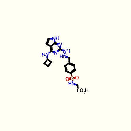 O=C(O)CNS(=O)(=O)c1ccc(CNNc2nc(NC3CCC3)c3cc[nH]c3n2)cc1